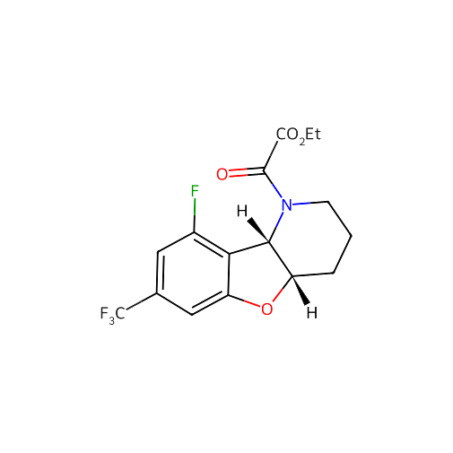 CCOC(=O)C(=O)N1CCC[C@@H]2Oc3cc(C(F)(F)F)cc(F)c3[C@@H]21